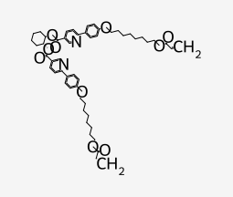 C=CC(=O)OCCCCCCCCOc1ccc(-c2ccc(C(=O)O[C@@H]3CCCC[C@H]3OC(=O)c3ccc(-c4ccc(OCCCCCCCCOC(=O)C=C)cc4)nc3)cn2)cc1